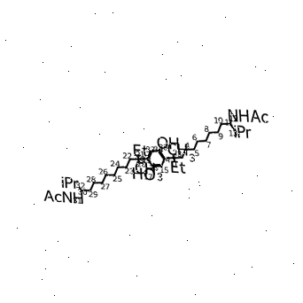 CCC(C)(CCCCCCCCC(NC(C)=O)C(C)C)c1cc(O)c(C(C)(CC)CCCCCCCCC(NC(C)=O)C(C)C)cc1O